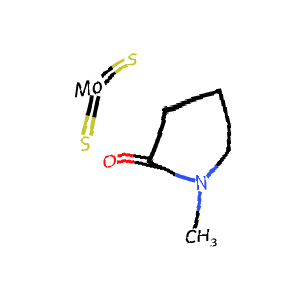 CN1CCCC1=O.[S]=[Mo]=[S]